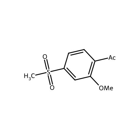 COc1cc(S(C)(=O)=O)ccc1C(C)=O